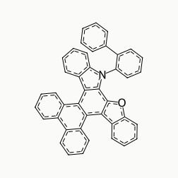 c1ccc(-c2ccccc2-n2c3ccccc3c3c4c5ccccc5c5ccccc5c4c4c5ccccc5oc4c32)cc1